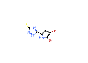 S=C1N=NC(c2cc(Br)c(Br)[nH]2)=N1